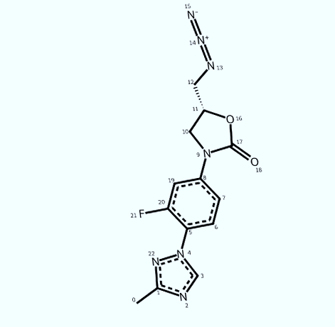 Cc1ncn(-c2ccc(N3C[C@H](CN=[N+]=[N-])OC3=O)cc2F)n1